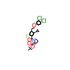 CC(C)(C)OC(=O)[C@@H]1CCCN1C(=O)c1cc(C2CC2)c(CCOc2ccc(Cl)c(Cl)c2)cc1F